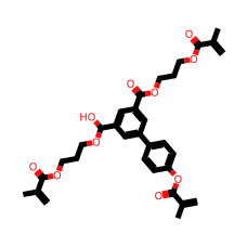 C=C(C)C(=O)OCCCOC(=O)c1cc(-c2ccc(OC(=O)C(=C)C)cc2)cc(C(O)OCCCOC(=O)C(=C)C)c1